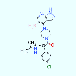 Bc1cnc2[nH]ncc2c1N1CCN(C(=O)[C@H](CNC(C)C)c2ccc(Cl)cc2)CC1